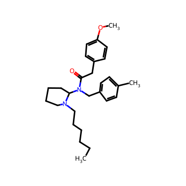 CCCCCCN1CCCCC1N(Cc1ccc(C)cc1)C(=O)Cc1ccc(OC)cc1